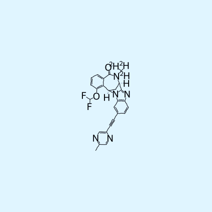 [2H]C([2H])([2H])N1C(=O)c2cccc(OC(F)F)c2[C@H]2C[C@@H]1c1nc3ccc(C#Cc4cnc(C)cn4)cc3n12